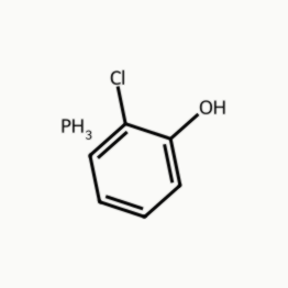 Oc1ccccc1Cl.P